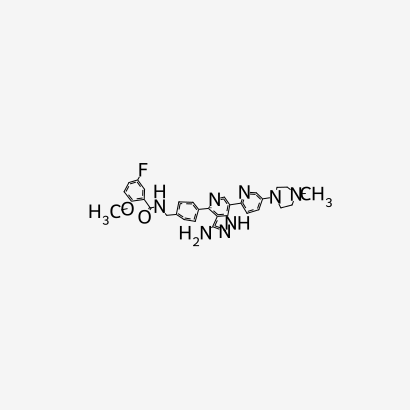 COc1ccc(F)cc1C(=O)NCc1ccc(-c2ncc(-c3ccc(N4CCN(C)CC4)cn3)c3[nH]nc(N)c23)cc1